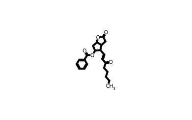 CCCCCC(=O)/C=C/C1C(OC(=O)c2ccccc2)CC2OC(=O)CC21